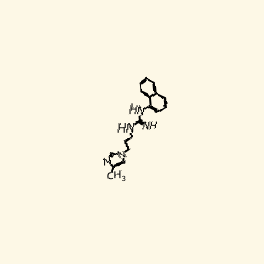 Cc1cn(CCCNC(=N)Nc2cccc3ccccc23)cn1